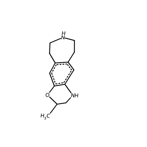 CC1CNc2cc3c(cc2O1)CCNCC3